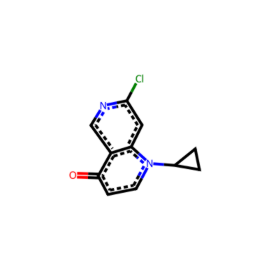 O=c1ccn(C2CC2)c2cc(Cl)ncc12